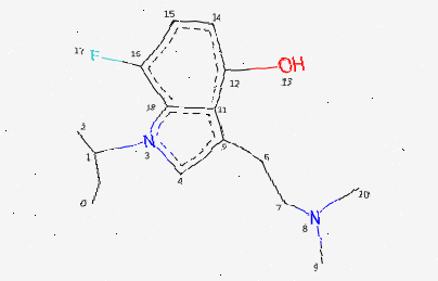 CC(C)n1cc(CCN(C)C)c2c(O)ccc(F)c21